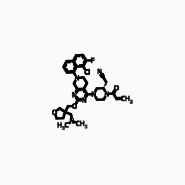 C=CC(=O)N1CCN(c2nc(OCC3(CN(C)C)CCOC3)nc3c2CCN(c2cccc4ccc(F)c(Cl)c24)C3)C[C@@H]1CC#N